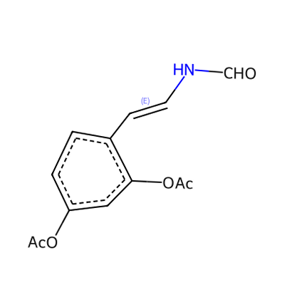 CC(=O)Oc1ccc(/C=C/NC=O)c(OC(C)=O)c1